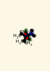 Cc1cc(C)cc(C2=Cc3c(n(-c4c(-c5c#ccc(C(F)(F)F)c5)cc(-c5nc(-c6ccccc6)nc(-c6ccccc6)n5)cc4-c4cccc(C(F)(F)F)c4)c4ccc(-c5cc(C)cc(C)c5)cc34)CC2)c1